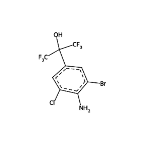 Nc1c(Cl)cc(C(O)(C(F)(F)F)C(F)(F)F)cc1Br